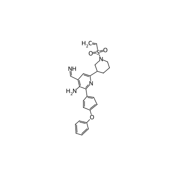 C=CS(=O)(=O)N1CCCC(c2cc(C=N)c(N)c(-c3ccc(Oc4ccccc4)cc3)n2)C1